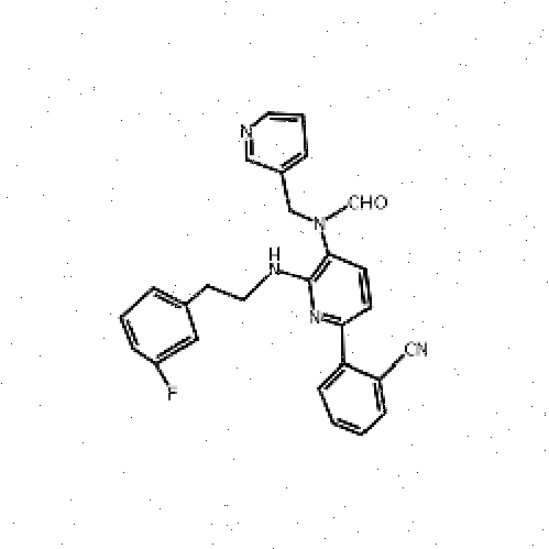 N#Cc1ccccc1-c1ccc(N(C=O)Cc2cccnc2)c(NCCc2cccc(F)c2)n1